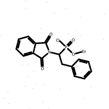 CCOP(=O)(Cl)C(Cc1ccccc1)N1C(=O)c2ccccc2C1=O